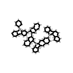 c1ccc(-n2c3ccccc3c3ccc(-c4nc5ccccc5nc4-c4cc(-n5c6ccccc6c6cc7ccc(-n8c9ccccc9c9ccc%10ccccc%10c98)cc7cc65)c5ccccc5c4)cc32)cc1